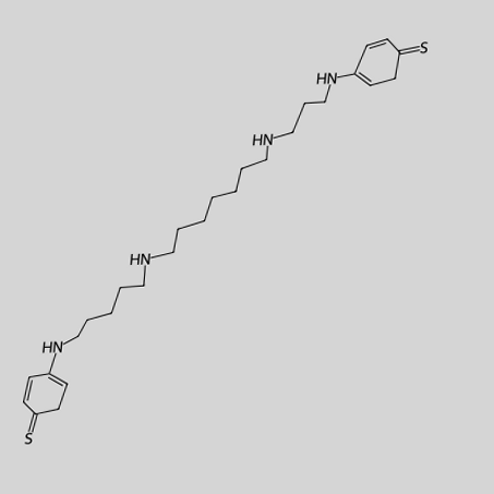 S=C1C=CC(NCCCCCNCCCCCCCNCCCNC2=CCC(=S)C=C2)=CC1